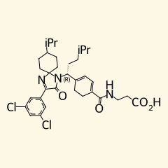 CC(C)CC[C@H](C1=CC=C(C(=O)NCCC(=O)O)CC1)N1C(=O)C(c2cc(Cl)cc(Cl)c2)=NC12CCC(C(C)C)CC2